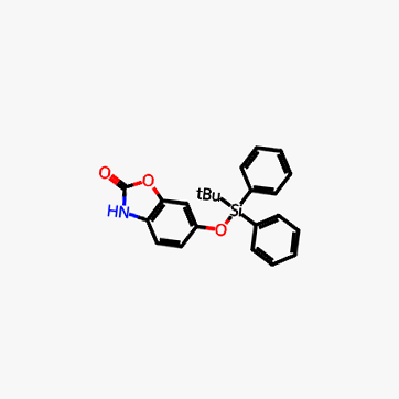 CC(C)(C)[Si](Oc1ccc2[nH]c(=O)oc2c1)(c1ccccc1)c1ccccc1